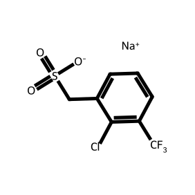 O=S(=O)([O-])Cc1cccc(C(F)(F)F)c1Cl.[Na+]